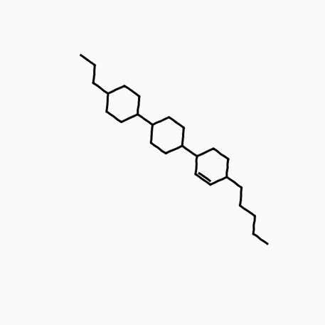 CCCCCC1C=CC(C2CCC(C3CCC(CCC)CC3)CC2)CC1